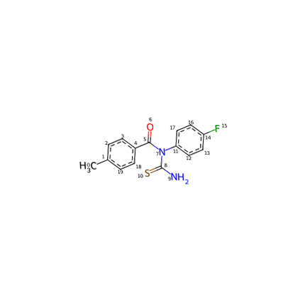 Cc1ccc(C(=O)N(C(N)=S)c2ccc(F)cc2)cc1